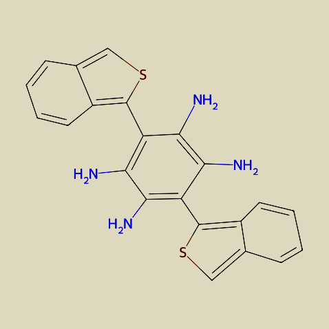 Nc1c(N)c(-c2scc3ccccc23)c(N)c(N)c1-c1scc2ccccc12